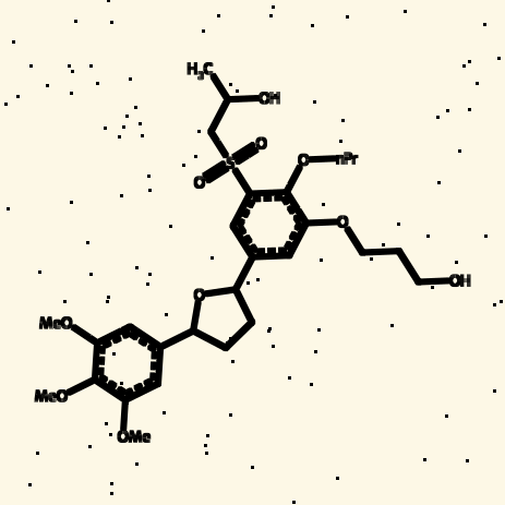 CCCOc1c(OCCCO)cc(C2CCC(c3cc(OC)c(OC)c(OC)c3)O2)cc1S(=O)(=O)CC(C)O